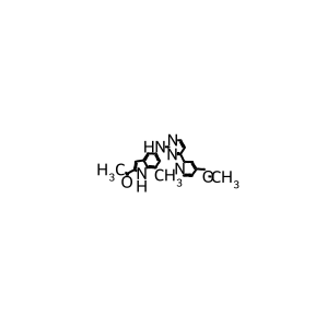 COCc1ccnc(-c2ccnc(Nc3cc(C)c4[nH]c(C(C)=O)cc4c3)n2)c1